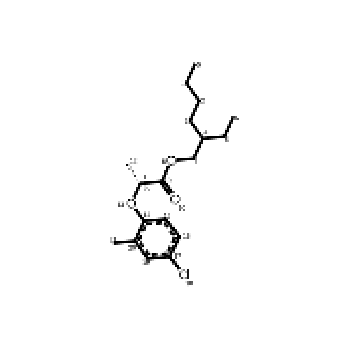 CCCCC(CC)COC(=O)[C@@H](C)Oc1ccc(Cl)cc1C